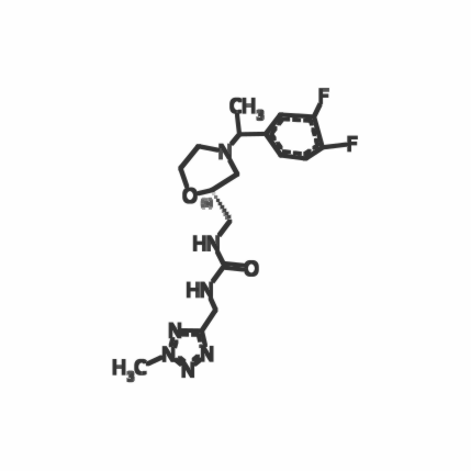 CC(c1ccc(F)c(F)c1)N1CCO[C@@H](CNC(=O)NCc2nnn(C)n2)C1